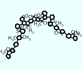 CCCCCCCCC1(CCCCCCCC)c2cc3c(cc2-c2cc4c(cc21)-c1c(cc(-c2cccc5sc6c(-c7cc(C)c(-c8ccc(-c9ccc%10c(c9)C(C)(C)c9ccccc9-%10)cc8)cc7C)cccc6c25)c2ccccc12)C4(C)C)C(C)(C)c1cc(-c2cccc4sc5c(-c6cc(C)c(-c7ccc(-c8ccc9c(c8)C(C)(C)c8ccccc8-9)cc7)cc6C)cccc5c24)c2ccccc2c1-3